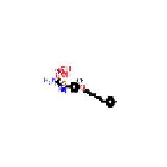 C[C@](N)(COP(=O)(O)O)c1nnc(-c2ccc(OCCCCCCCc3ccccc3)c(C(F)(F)F)c2)s1